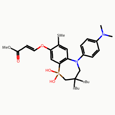 CCCCC1(CCCC)CN(c2ccc(N(C)C)cc2)c2cc(SC)c(O/C=C/C(=O)OC)cc2S(O)(O)C1